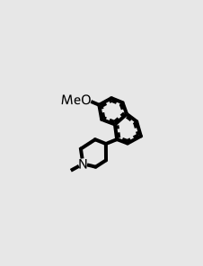 COc1ccc2cccc(C3CCN(C)CC3)c2c1